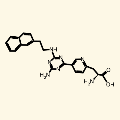 Nc1nc(NCCc2ccc3ccccc3c2)nc(-c2ccc(C[C@H](N)C(=O)O)nc2)n1